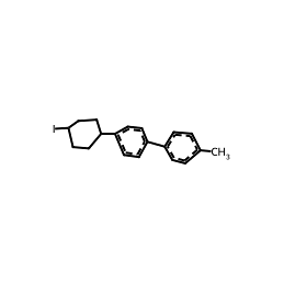 Cc1ccc(-c2ccc(C3CCC(I)CC3)cc2)cc1